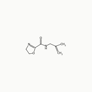 C=C(C)CNC(=O)C1=NCCO1